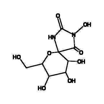 O=C1NC2(OC(CO)C(O)C(O)C2O)C(=O)N1O